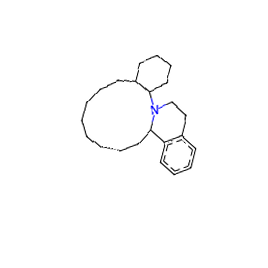 c1ccc2c(c1)CCN1C2CCCCCCCCC2CCCCC21